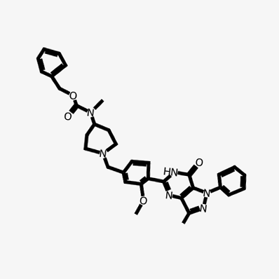 COc1cc(CN2CCC(N(C)C(=O)OCc3ccccc3)CC2)ccc1-c1nc2c(C)nn(-c3ccccc3)c2c(=O)[nH]1